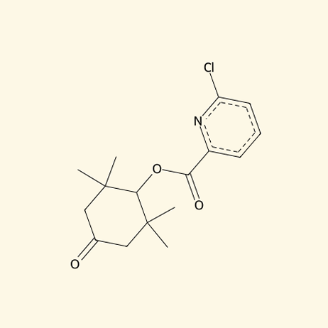 CC1(C)CC(=O)CC(C)(C)C1OC(=O)c1cccc(Cl)n1